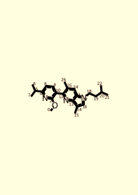 COc1nc(C(C)C)ccc1-c1nc2c(C)cn(CCC(C)C)c2cc1C